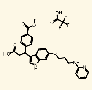 COC(=O)c1ccc(C(CC(=O)O)c2c[nH]c3cc(OCCCNc4ccccn4)ccc23)cc1.O=C(O)C(F)(F)F